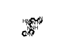 c1cnc(-c2ccc3[nH]nc(-c4nc5c(N6CCCCC6)nccc5[nH]4)c3n2)cn1